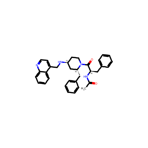 CC(=O)N[C@H](Cc1ccccc1)C(=O)N1CC[C@H](NCc2ccnc3ccccc23)C[C@H]1Cc1ccccc1